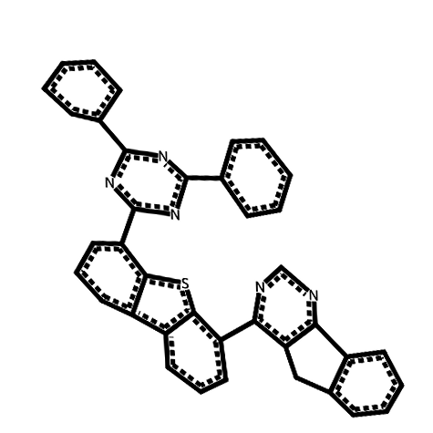 c1ccc(-c2nc(-c3ccccc3)nc(-c3cccc4c3sc3c(-c5ncnc6c5Cc5ccccc5-6)cccc34)n2)cc1